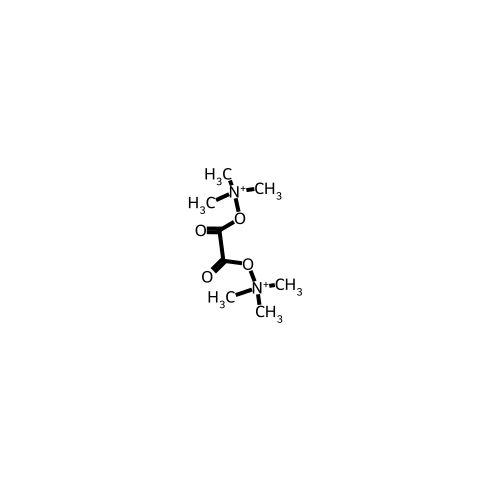 C[N+](C)(C)OC(=O)C(=O)O[N+](C)(C)C